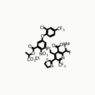 CCOC(=O)C(C)OC(=O)c1cc(Oc2ccc(C(F)(F)F)cc2Cl)ccc1[N+](=O)[O-].COC(=O)c1c(C(F)F)nc(C(F)(F)F)c(C2=NCCS2)c1CC(C)C